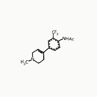 CC(=O)Nc1ccc(C2=CCN(C)CC2)cc1C(F)(F)F